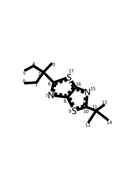 CCC(C)(CC)c1nc2sc(C(C)(C)C)nc2s1